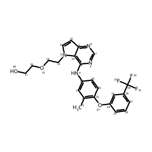 Cc1cc(Nc2ncnc3ccn(CCOCCO)c23)ccc1Oc1cccc(C(F)(F)F)c1